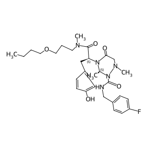 CCCCOCCCN(C)C(=O)[C@H](Cc1ccc(O)cc1)N1C(=O)CN(C)N(C(=O)NCc2ccc(F)cc2)[C@H]1C